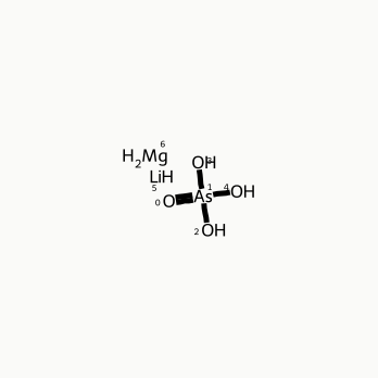 O=[As](O)(O)O.[LiH].[MgH2]